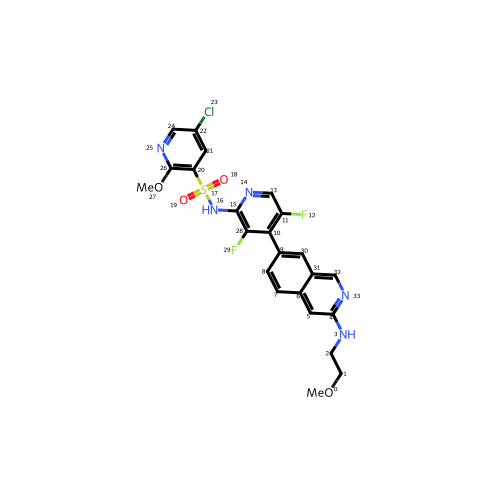 COCCNc1cc2ccc(-c3c(F)cnc(NS(=O)(=O)c4cc(Cl)cnc4OC)c3F)cc2cn1